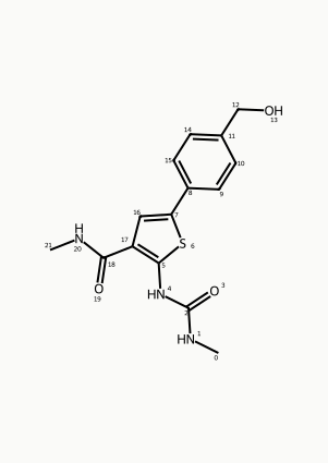 CNC(=O)Nc1sc(-c2ccc(CO)cc2)cc1C(=O)NC